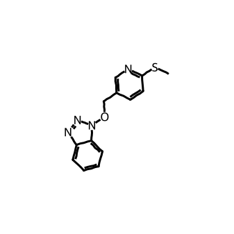 CSc1ccc(COn2nnc3ccccc32)cn1